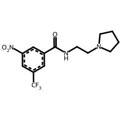 O=C(NCCN1CCCC1)c1cc([N+](=O)[O-])cc(C(F)(F)F)c1